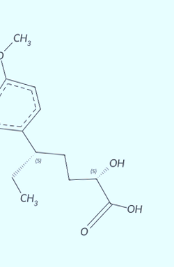 CC[C@@H](CC[C@H](O)C(=O)O)c1ccc(OC)cc1